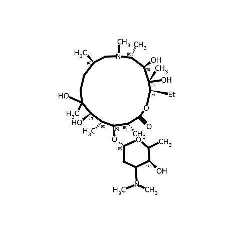 CC[C@H]1OC(=O)[C@H](C)[C@@H](O[C@H]2CC(N(C)C)[C@H](O)C(C)O2)[C@H](C)[C@@H](O)C(C)(O)CC[C@@H](C)CN(C)[C@H](C)[C@@H](O)[C@]1(C)O